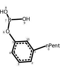 CCCCCc1cccc(OB(O)O)c1